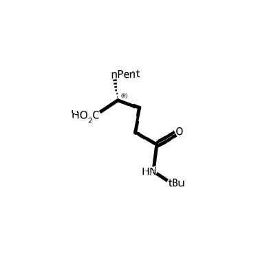 CCCCC[C@H](CCC(=O)NC(C)(C)C)C(=O)O